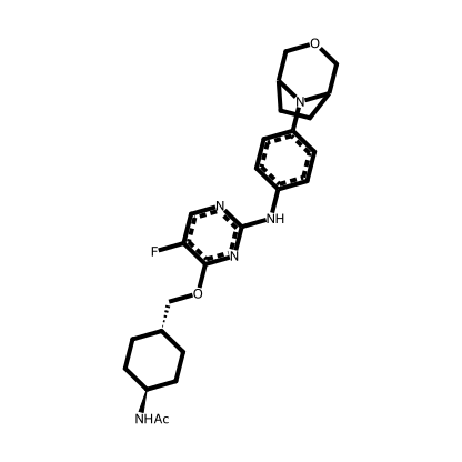 CC(=O)N[C@H]1CC[C@H](COc2nc(Nc3ccc(N4C5CCC4COC5)cc3)ncc2F)CC1